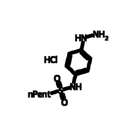 CCCCCS(=O)(=O)Nc1ccc(NN)cc1.Cl